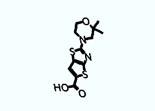 CC1(C)CN(c2nc3sc(C(=O)O)cc3s2)CCO1